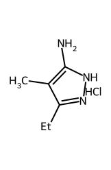 CCc1n[nH]c(N)c1C.Cl